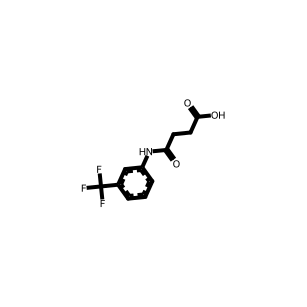 O=C(O)CCC(=O)Nc1cccc(C(F)(F)F)c1